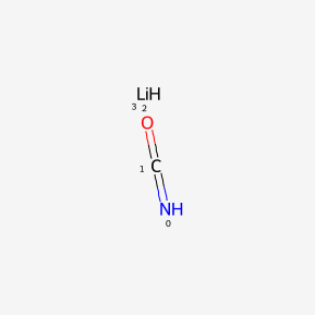 N=C=O.[LiH]